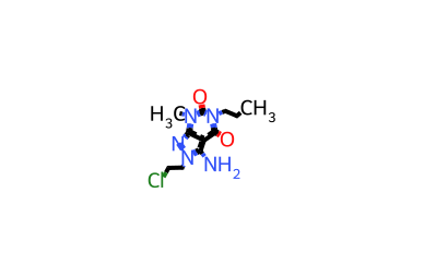 CCCn1c(=O)c2c(N)n(CCCl)nc2n(C)c1=O